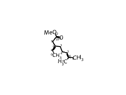 CC=C(CCC=C(C)C)CC(=O)OC